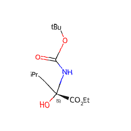 CCOC(=O)[C@](O)(NC(=O)OC(C)(C)C)C(C)C